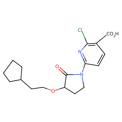 O=C(O)c1ccc(N2CCC(OCCC3CCCC3)C2=O)nc1Cl